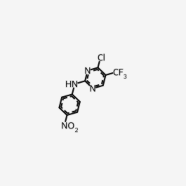 O=[N+]([O-])c1ccc(Nc2ncc(C(F)(F)F)c(Cl)n2)cc1